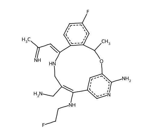 CC(=N)/C=C1\NC/C(CN)=C(/NCCF)c2cnc(N)c(c2)OC(C)c2cc(F)ccc21